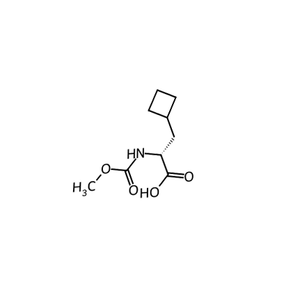 COC(=O)N[C@H](CC1CCC1)C(=O)O